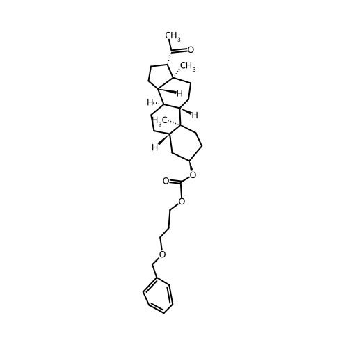 CC(=O)[C@H]1CC[C@H]2[C@@H]3CC[C@H]4C[C@H](OC(=O)OCCCOCc5ccccc5)CC[C@]4(C)[C@H]3CC[C@]12C